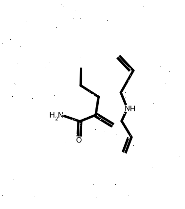 C=C(CCC)C(N)=O.C=CCNCC=C